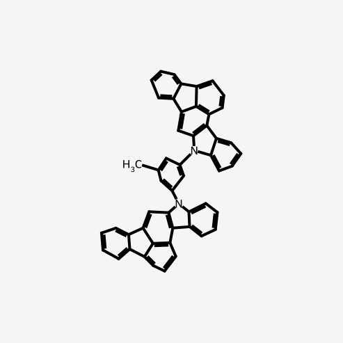 Cc1cc(-n2c3ccccc3c3c4cccc5c4c(cc32)-c2ccccc2-5)cc(-n2c3ccccc3c3c4cccc5c4c(cc32)-c2ccccc2-5)c1